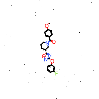 COc1ccc(C(=O)N2CCC[C@H](c3nc(Oc4cccc(F)c4)no3)C2)cc1